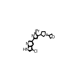 CC(C)n1nc(-c2cnc3[nH]cc(Cl)c3c2)cc1C1CCN(C2COC2)C1